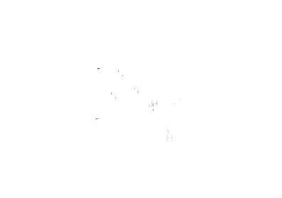 C[C@@H]1OCc2c1nc(N1CC[C@@H]1C)nc2N1C[C@H]2C[C@@H](C1)[C@@H]2CC(=O)O